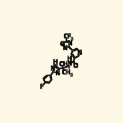 CC(C)(CNC(=O)c1cncc(-c2noc(C(F)(F)F)n2)c1)c1nc(-c2ccc(F)cc2)n[nH]1